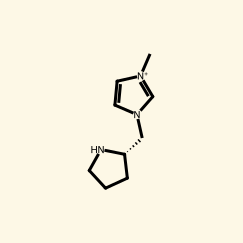 C[n+]1ccn(C[C@@H]2CCCN2)c1